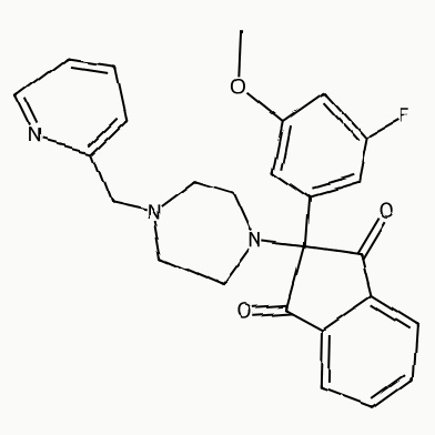 COc1cc(F)cc(C2(N3CCN(Cc4ccccn4)CC3)C(=O)c3ccccc3C2=O)c1